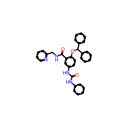 O=C(Nc1ccccc1)Nc1ccc(OC(c2ccccc2)c2ccccc2)c(C(=O)NCc2ccccn2)c1